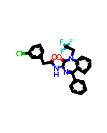 O=C(Cc1cccc(Cl)c1)N[C@@H]1N=C(c2ccccc2)c2ccccc2N(CC(F)(F)F)C1=O